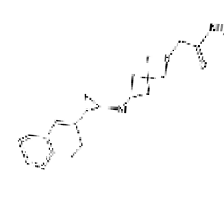 CC/C(=C\c1ccccc1)[C@@H]1C[C@H]1NC1CC2(C1)CN(CC(N)=O)C2